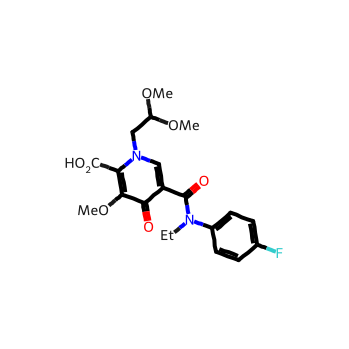 CCN(C(=O)c1cn(CC(OC)OC)c(C(=O)O)c(OC)c1=O)c1ccc(F)cc1